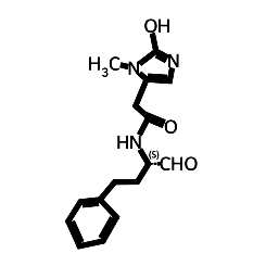 Cn1c(CC(=O)N[C@H](C=O)CCc2ccccc2)cnc1O